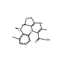 COC(=O)C1=C(C)NC2=C(C(=O)OC2)[C@@H]1c1cncc(F)c1[C@@H](C)F